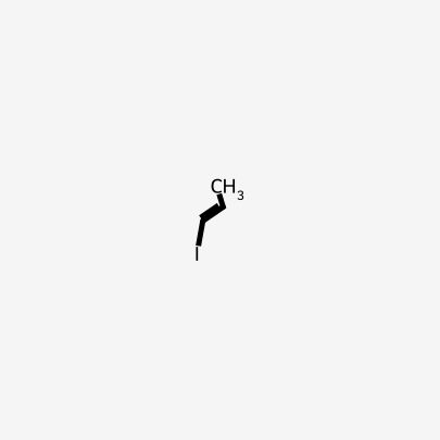 C/C=C/I